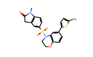 CN1C(=O)Cc2cc(S(=O)(=O)N3CCOc4ccc(-c5ccc(C#N)s5)cc43)ccc21